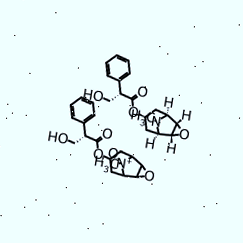 CN1[C@@H]2C[C@@H](OC(=O)[C@H](CO)c3ccccc3)C[C@H]1[C@@H]1O[C@@H]12.C[N+]1([O-])C2CC(OC(=O)[C@H](CO)c3ccccc3)CC1C1OC12